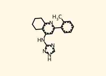 Cc1ccccc1-c1cc(Nc2nc[nH]n2)c2c(n1)CCCC2